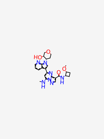 CNc1cc(-c2cn([C@H]3CCOC[C@@H]3O)c3ncccc23)nc2c(C(=O)N[C@H]3CC[C@@H]3OC)cnn12